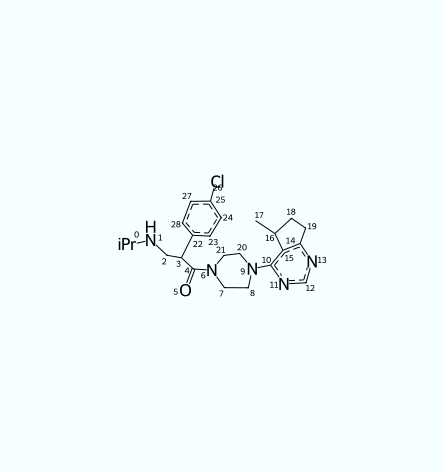 CC(C)NCC(C(=O)N1CCN(c2ncnc3c2C(C)CC3)CC1)c1ccc(Cl)cc1